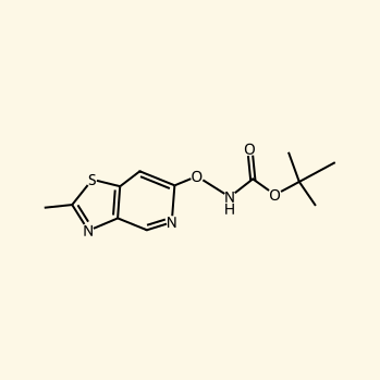 Cc1nc2cnc(ONC(=O)OC(C)(C)C)cc2s1